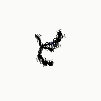 Cc1c(C(=O)C(=O)NC/C(N)=C/N(N)CCOCCOCC(COCCOCCN=[N+]=[N-])(COCCOCCN=[N+]=[N-])COCCOCCn2cc(CNC(=O)C(=O)c3c(C)c(C(=O)Nc4ccc(F)c(F)c4)n(C)c3C)nn2)c(C)n(C)c1C(=O)Nc1ccc(F)c(F)c1